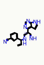 C=CC(N/C=C(\C=N)c1ncnc2[nH]ccc12)c1cccc(C#N)c1